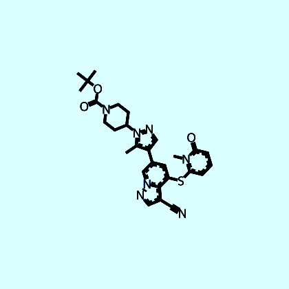 Cc1c(-c2cc(Sc3cccc(=O)n3C)c3c(C#N)cnn3c2)cnn1C1CCN(C(=O)OC(C)(C)C)CC1